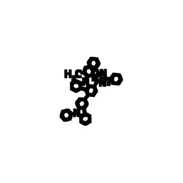 Cc1cccc(C)c1-n1c2ccccc2c2c(-c3ccc4c(c3)c3ccccc3n4-c3ccccc3)ccc(-c3nc(-c4ccccc4)nc(-c4ccccc4)n3)c21